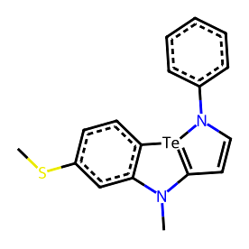 CSc1ccc2c(c1)N(C)C1=[Te]2N(c2ccccc2)C=C1